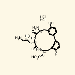 Cl.Cl.NC[C@H](O)C[C@@H]1NC(=O)[C@@H](N)Cc2cc(ccc2O)-c2ccc(F)c(c2)C[C@H](OC(=O)O)NC1=O